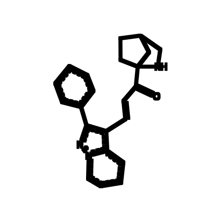 O=C(C=Cc1c(-c2ccccc2)nn2ccccc12)C12CCC(CN1)C2